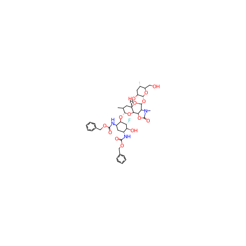 CC1C[C@@H]2OC(O[C@H]3OC(CO)[C@@H](C)CC3O)C3C(OC(=O)N3C)C2O[C@@H]1O[C@@H]1C(NC(=O)OCc2ccccc2)C[C@@H](NC(=O)OCc2ccccc2)C(O)[C@H]1F